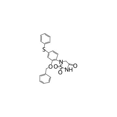 O=C1CN(c2ccc(Sc3ccccc3)cc2OCc2ccccc2)S(=O)(=O)N1